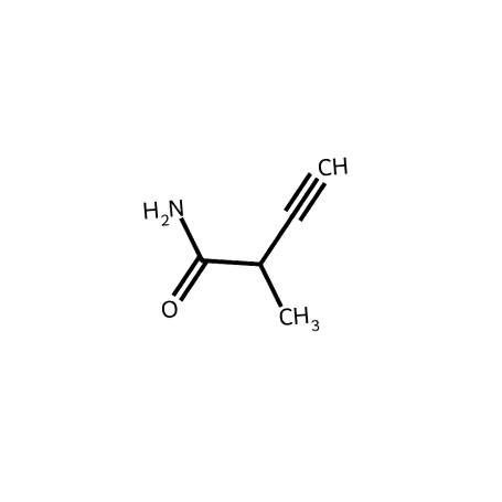 C#CC(C)C(N)=O